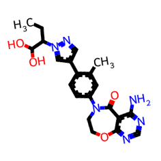 CCC(C(O)O)n1cc(-c2ccc(N3CCOc4ncnc(N)c4C3=O)cc2C)cn1